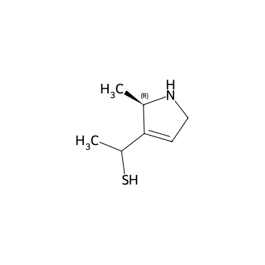 CC(S)C1=CCN[C@@H]1C